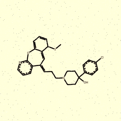 CSC1C=CC=C2Oc3ncccc3C(=CCCN3CCC(O)(c4ccc(Cl)cc4)CC3)C=C21